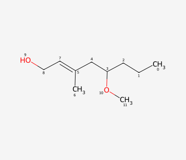 CCCC(C/C(C)=C/CO)OC